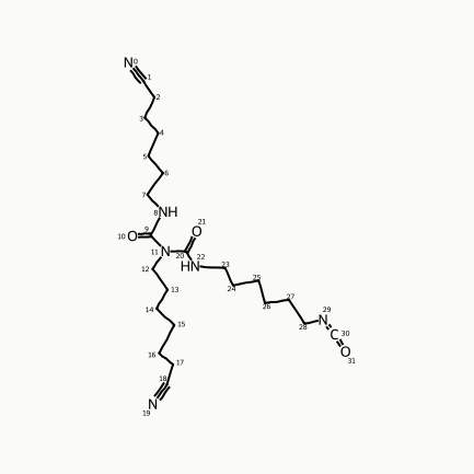 N#CCCCCCCNC(=O)N(CCCCCCC#N)C(=O)NCCCCCCN=C=O